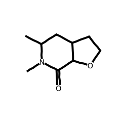 CC1CC2CCOC2C(=O)N1C